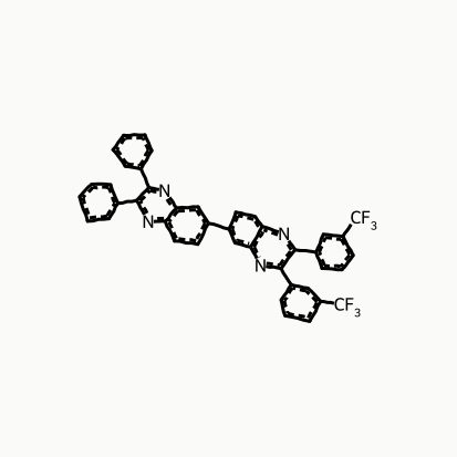 FC(F)(F)c1cccc(-c2nc3ccc(-c4ccc5nc(-c6ccccc6)c(-c6ccccc6)nc5c4)cc3nc2-c2cccc(C(F)(F)F)c2)c1